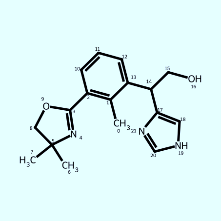 Cc1c(C2=NC(C)(C)CO2)cccc1C(CO)c1c[nH]cn1